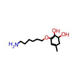 CC1=CC(OCCCCCCN)=C(O)C(O)C1